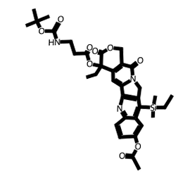 CCC1(OC(=O)CCNC(=O)OC(C)(C)C)C(=O)OCc2c1cc1n(c2=O)Cc2c-1nc1ccc(OC(C)=O)cc1c2[Si](C)(C)CC